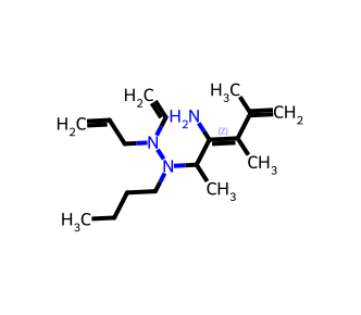 C=CCN(C=C)N(CCCC)C(C)/C(N)=C(\C)C(=C)C